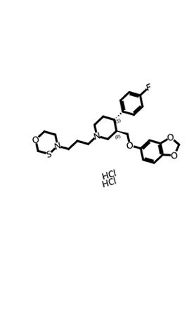 Cl.Cl.Fc1ccc([C@H]2CCN(CCCN3CCOCS3)C[C@@H]2COc2ccc3c(c2)OCO3)cc1